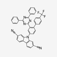 N#Cc1ccc2c3ccc(C#N)cc3n(-c3ccc(-c4ccc(C(F)(F)F)cc4)c(-c4nc(-c5ccccc5)nc(-c5ccccc5)n4)c3)c2c1